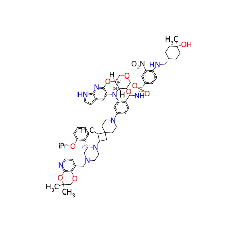 CC(C)Oc1ccccc1[C@H]1CN(Cc2ccnc3c2OCC(C)(C)O3)CCN1C1CC2(CCN(c3ccc(C(=O)NS(=O)(=O)c4ccc(NC[C@H]5CC[C@](C)(O)CC5)c([N+](=O)[O-])c4)c(N4c5cc6cc[nH]c6nc5O[C@H]5COCC[C@@H]54)c3)CC2)C1C